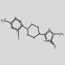 Cn1nc(C2CCN(c3ccc([N+](=O)[O-])cc3F)CC2)oc1=O